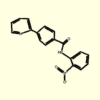 O=C(Nc1ccccc1[N+](=O)[O-])c1ccc(-c2ccccn2)cc1